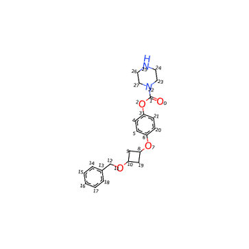 O=C(Oc1ccc(OC2CC(OCc3ccccc3)C2)cc1)N1CCNCC1